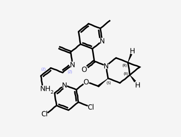 C=C(/N=C\C=C/N)c1ccc(C)nc1C(=O)N1C[C@@H]2C[C@@H]2C[C@H]1COc1ncc(Cl)cc1Cl